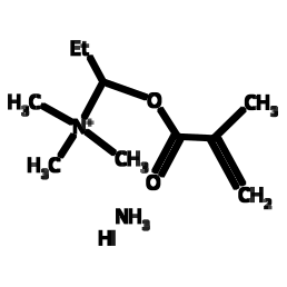 C=C(C)C(=O)OC(CC)[N+](C)(C)C.I.N